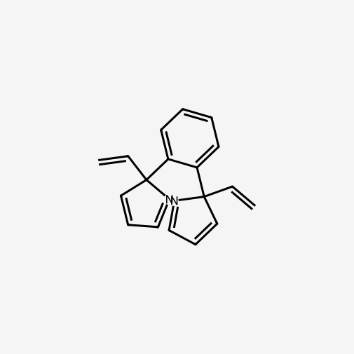 C=CC1(c2ccccc2C2(C=C)C=CC=N2)C=CC=N1